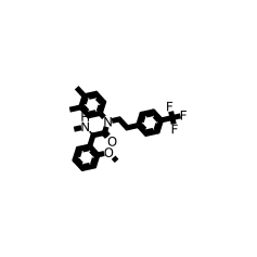 CN[C@H](C(=O)N(CCc1ccc(C(F)(F)F)cc1)c1ccc(C)c(C)c1)c1ccccc1OC